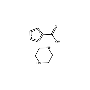 C1CNCCN1.O=C(O)c1cccs1